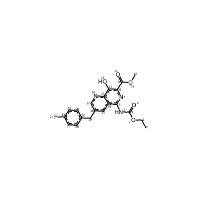 CCOC(=O)Nc1nc(C(=O)OC)c(O)c2ncc(Cc3ccc(F)cc3)cc12